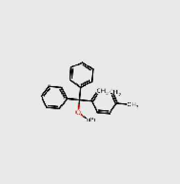 C=C(C)/C=C\C(=C)C(OCCC)(c1ccccc1)c1ccccc1